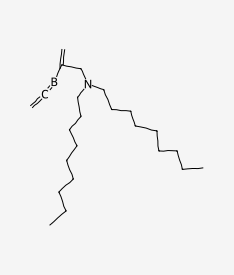 C=C=BC(=C)CN(CCCCCCCCC)CCCCCCCCC